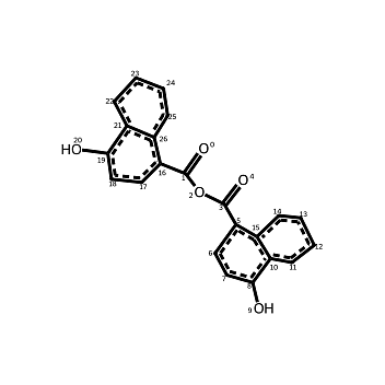 O=C(OC(=O)c1ccc(O)c2ccccc12)c1ccc(O)c2ccccc12